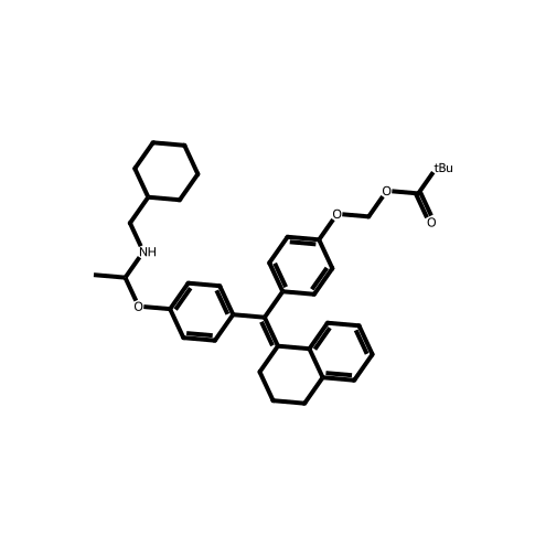 CC(NCC1CCCCC1)Oc1ccc(C(=C2CCCc3ccccc32)c2ccc(OCOC(=O)C(C)(C)C)cc2)cc1